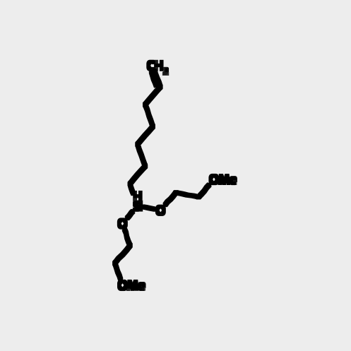 C=CCCCCC[SiH](OCCOC)OCCOC